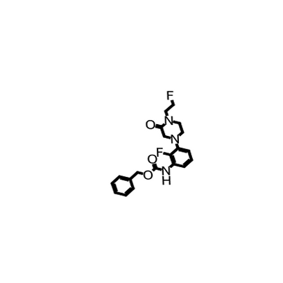 O=C(Nc1cccc(N2CCN(CCF)C(=O)C2)c1F)OCc1ccccc1